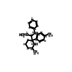 Cl.OC(Nc1ccncc1)C1(c2ccc(C(F)(F)F)cc2)CCCC(C(F)(F)F)N1